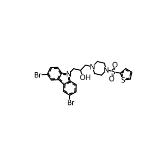 O=S(=O)(c1cccs1)N1CCN(CC(O)Cn2c3ccc(Br)cc3c3cc(Br)ccc32)CC1